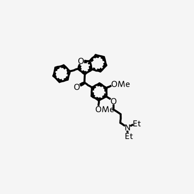 CCN(CC)CCCOc1c(OC)cc(C(=O)c2c(-c3ccccc3)oc3ccccc23)cc1OC